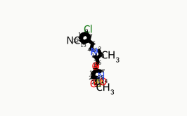 CC1CN(CCc2cc(Cl)cc(C#N)c2)CC1COc1ccc(S(C)(=O)=O)nc1